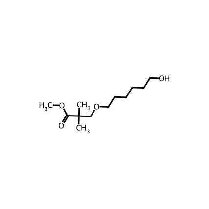 COC(=O)C(C)(C)COCCCCCCO